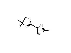 CCc1nc(C2=NC(C)(C)CS2)cs1